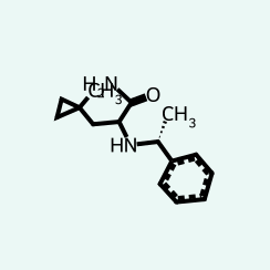 C[C@@H](NC(CC1(C)CC1)C(N)=O)c1ccccc1